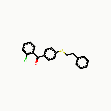 O=C(c1ccc(SCCc2ccccc2)cc1)c1ccccc1Cl